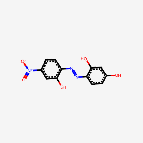 O=[N+]([O-])c1ccc(/N=N/c2ccc(O)cc2O)c(O)c1